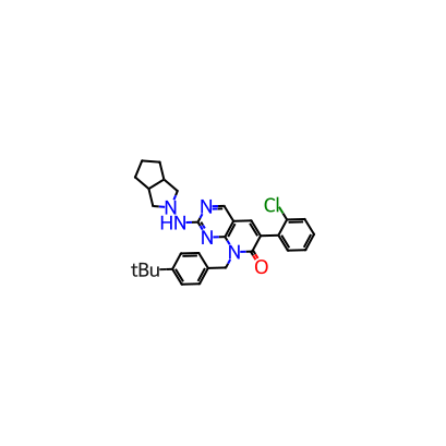 CC(C)(C)c1ccc(Cn2c(=O)c(-c3ccccc3Cl)cc3cnc(NN4CC5CCCC5C4)nc32)cc1